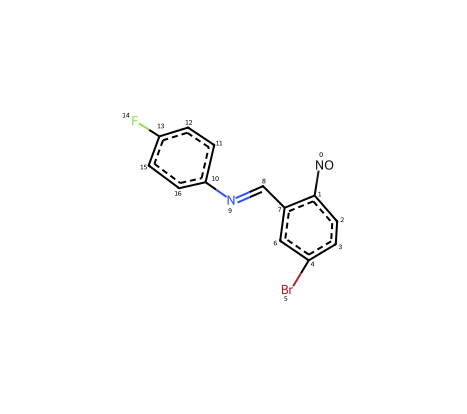 O=Nc1ccc(Br)cc1/C=N/c1ccc(F)cc1